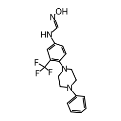 O/N=C/Nc1ccc(N2CCN(c3ccccc3)CC2)c(C(F)(F)F)c1